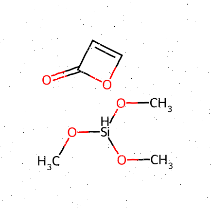 CO[SiH](OC)OC.O=C1C=CO1